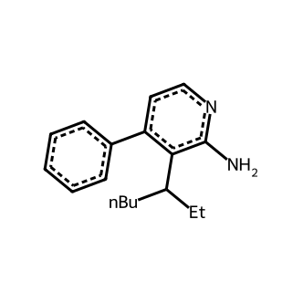 CCCCC(CC)c1c(-c2ccccc2)ccnc1N